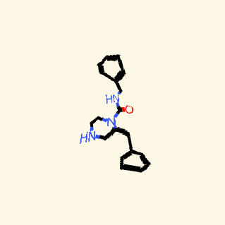 O=C(NCc1ccccc1)N1CCNCC1Cc1ccccc1